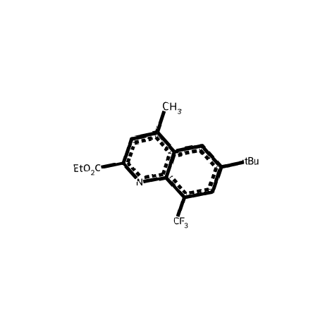 CCOC(=O)c1cc(C)c2cc(C(C)(C)C)cc(C(F)(F)F)c2n1